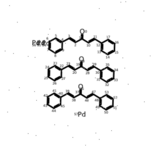 O=C(C=Cc1ccccc1)C=Cc1ccccc1.O=C(C=Cc1ccccc1)C=Cc1ccccc1.O=C(C=Cc1ccccc1)C=Cc1ccccc1.[Pd].[Pd].[Pd].[Pd]